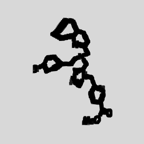 COC(=O)c1ccc(Cn2cnnc2CN(CCc2ccc(Br)cc2)Cc2ccc3ccccc3n2)nc1